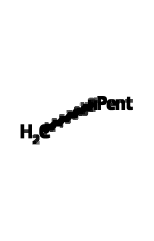 C=CCCCCCCC=CCC=CCCCCC